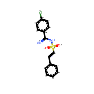 N=C(NS(=O)(=O)/C=C/c1ccccc1)c1ccc(Cl)cc1